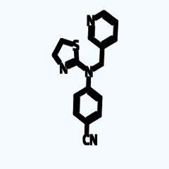 N#Cc1ccc(N(Cc2cccnc2)C2=NCCS2)cc1